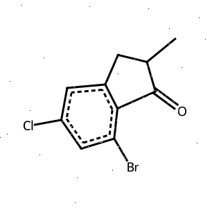 CC1Cc2cc(Cl)cc(Br)c2C1=O